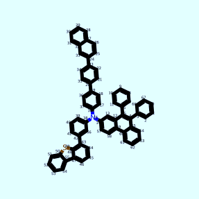 c1ccc(-c2c(-c3ccccc3)c3cc(N(c4ccc(-c5ccc(-c6ccc7ccccc7c6)cc5)cc4)c4cccc(-c5cccc6c5sc5ccccc56)c4)ccc3c3ccccc23)cc1